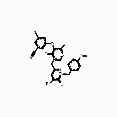 COc1ccc(Cn2nc(Cn3cnc(C)c(Oc4cc(Cl)cc(C#N)c4)c3=O)cc(Br)c2=O)cc1